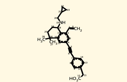 C=Cc1cc(C#Cc2ccc(CC(=O)O)cc2)cc2c1C(NCC1CC1)CCC2(C)C